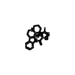 C=C(c1nc(C)no1)n1c2c(c3ccccc31)CCN1CCC[C@](C)(CC)[C@@H]21